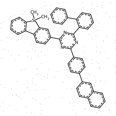 C[Si]1(C)c2ccccc2-c2ccc(-c3nc(-c4ccc(-c5ccc6ccccc6c5)cc4)nc(-c4ccccc4-c4ccccc4)n3)cc21